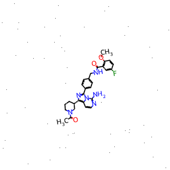 COc1ccc(F)cc1C(=O)NCc1ccc(-c2nc(C3CCCN(C(C)=O)C3)c3ccnc(N)n23)cc1